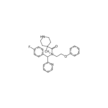 CC1(C(=O)N(CCOc2ccccc2)C(c2ccc(F)cc2)c2ccccn2)CCNCC1